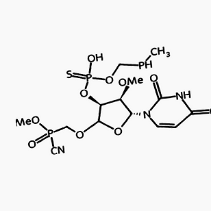 C=C1C=CN([C@@H]2OC(OCP(=O)(C#N)OC)[C@@H](OP(O)(=S)OCPC)[C@H]2OC)C(=O)N1